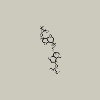 O=[N+]([O-])O[C@@H]1COC2C1OC[C@@H]2SS[C@H]1COC2C1OC[C@H]2O[N+](=O)[O-]